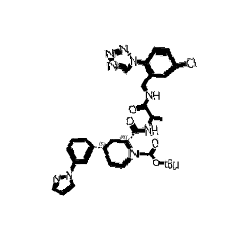 CC(NC(=O)[C@H]1C[C@@H](c2cccc(-n3cccn3)c2)CCN1C(=O)OC(C)(C)C)C(=O)NCc1cc(Cl)ccc1-n1cnnn1